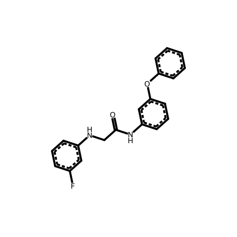 O=C(CNc1cccc(F)c1)Nc1cccc(Oc2ccccc2)c1